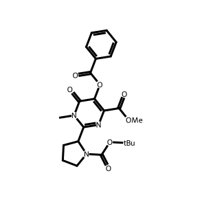 COC(=O)c1nc(C2CCCN2C(=O)OC(C)(C)C)n(C)c(=O)c1OC(=O)c1ccccc1